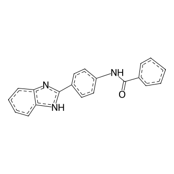 O=C(Nc1ccc(-c2nc3ccccc3[nH]2)cc1)c1ccccc1